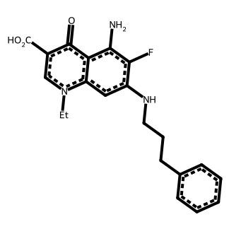 CCn1cc(C(=O)O)c(=O)c2c(N)c(F)c(NCCCc3ccccc3)cc21